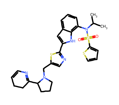 CC(C)N(c1cccc2cc(-c3ncc(CN4CCCC4C4=NC=CCC4)s3)[nH]c12)S(=O)(=O)c1cccs1